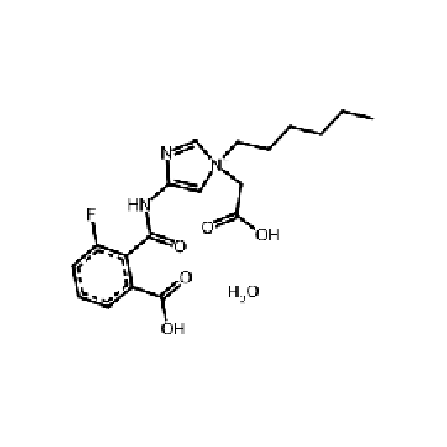 CCCCCC[N+]1(CC(=O)O)C=NC(NC(=O)c2c(F)cccc2C(=O)O)=C1.O